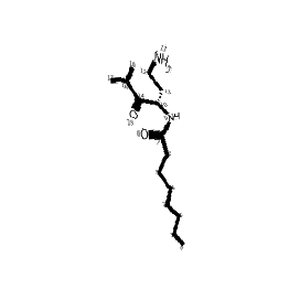 CCCCCCCC(=O)N[C@@H](CCN)C(=O)C(C)C